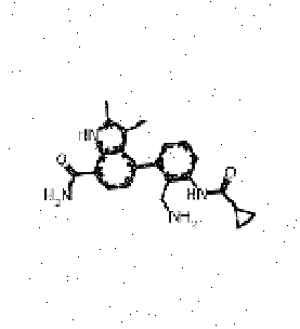 Cc1[nH]c2c(C(N)=O)ccc(-c3cccc(NC(=O)C4CC4)c3CN)c2c1C